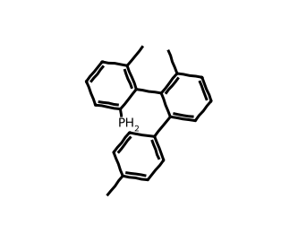 Cc1ccc(-c2cccc(C)c2-c2c(C)cccc2P)cc1